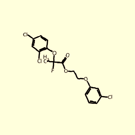 CC(F)(Oc1ccc(Cl)cc1Cl)C(=O)OCCOc1cccc(Cl)c1